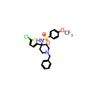 O=S(=O)(NC1(c2ccc(Cl)s2)CCN(Cc2ccccc2)CC1)c1ccc(OC(F)(F)F)cc1